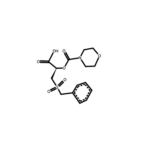 O=C(O)[C@H](CS(=O)(=O)Cc1ccccc1)OC(=O)N1CCOCC1